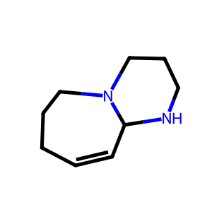 C1=CC2NCCCN2CCC1